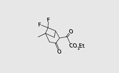 CCOC(=O)C(=O)C1C(=O)CC2(C)CC1C2(F)F